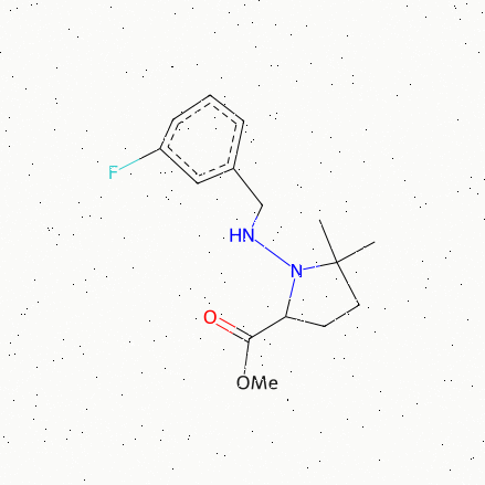 COC(=O)C1CCC(C)(C)N1NCc1cccc(F)c1